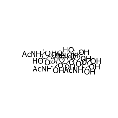 CC(=O)NC1[C@H](OC2C(O)[C@H](O)[C@@H](CO)O[C@@H]2OC2[C@H](O)C(CO)O[C@@H](O[C@@H]3C(CO)O[C@@H](O[C@@H]4C(CO)O[C@@H](C)C(NC(C)=O)[C@H]4O)[C@@H](NC(C)=O)C3O)[C@@H]2O)OC(CO)[C@@H](O)[C@@H]1O